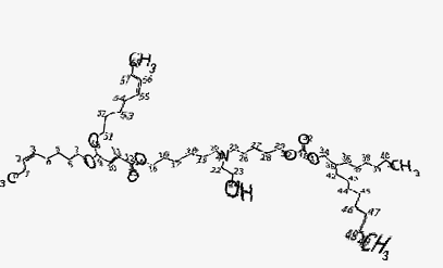 CC/C=C\CCCCOC(CCC(=O)OCCCCCCN(CCO)CCCCCOC(=O)OCC(CCCCCC)CCCCCCCC)OCCCC/C=C\CC